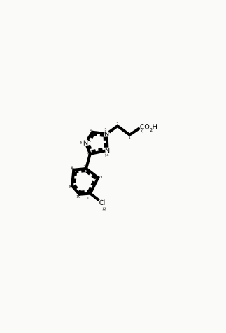 O=C(O)CCn1cnc(-c2cccc(Cl)c2)n1